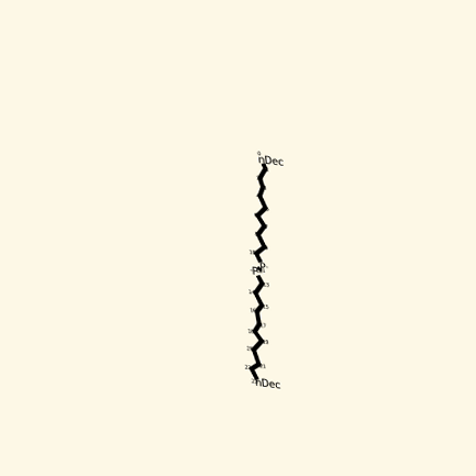 CCCCCCCCCCCCCCCCCCCC[P][P]CCCCCCCCCCCCCCCCCCCC